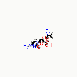 CC(C)C(N)C(=O)O[C@@H]1C[C@H](n2ccc(N)nc2=O)O[C@@H]1CO